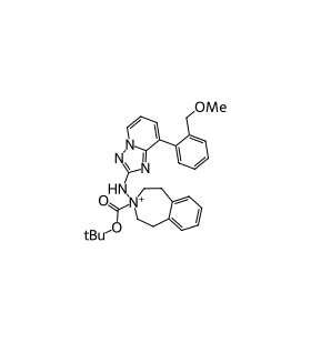 COCc1ccccc1-c1cccn2nc(N[N+]3(C(=O)OC(C)(C)C)CCc4ccccc4CC3)nc12